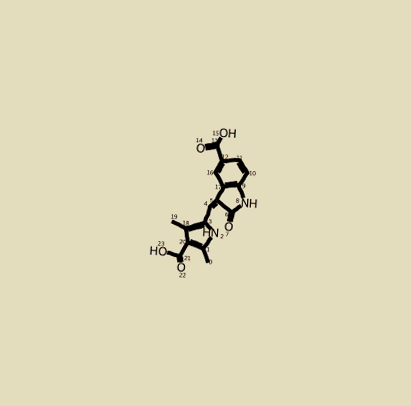 Cc1[nH]c(C=C2C(=O)Nc3ccc(C(=O)O)cc32)c(C)c1C(=O)O